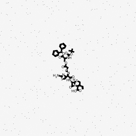 C=CC1=C(C(=O)O)N2C(=O)C(NC(=O)/C(=N/OCC(=O)OCC(NC(=O)OC(C)(C)C)C(=O)OC(c3ccccc3)c3ccccc3)c3csc(N)n3)[C@H]2SC1